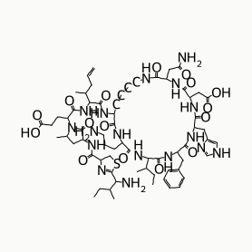 C=CCC(C)C(NC(=O)C(CCC(=O)O)N1C(=O)C(NC(=O)C2CSC(C(N)C(C)CC)=N2)CC1C)C(=O)NC1CCCCNC(=O)C(CC(N)=O)NC(=O)C(CC(=O)O)NC(=O)C(Cc2c[nH]cn2)NC(=O)C(Cc2ccccc2)NC(=O)C(C(C)CC)NC(=O)C(CCCN)NC1=O